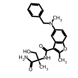 Cc1oc2ccc(N(C)Cc3ccccc3)cc2c1C(=O)N[C@@](C)(CO)C(N)=O